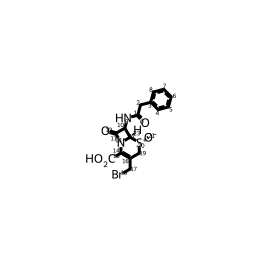 O=C(Cc1ccccc1)NC1C(=O)N2C(C(=O)O)=C(CBr)C[S+]([O-])[C@H]12